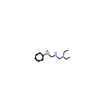 CCN(CC)CNC[SiH2]c1ccccc1